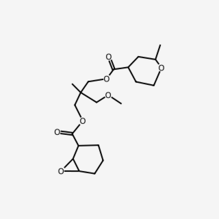 COCC(C)(COC(=O)C1CCOC(C)C1)COC(=O)C1CCCC2OC21